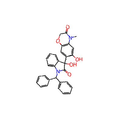 CN1C(=O)COc2cc(C3(O)C(=O)N(C(c4ccccc4)c4ccccc4)c4ccccc43)c(O)cc21